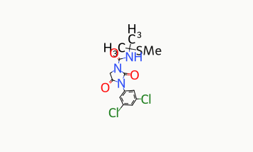 CSC(C)(C)NC(=O)N1CC(=O)N(c2cc(Cl)cc(Cl)c2)C1=O